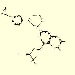 C=C(CCc1nc([C@@H]2CCO[C@@H](c3cnn(C4CC4)c3)C2)cc2nc(C)c(C)nc12)C(F)(F)F